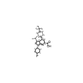 CC(C)c1nn(-c2ccc(F)cc2)c2nc(C(=O)O)cc(N3CCN(C(C)(C)C)CC3)c12